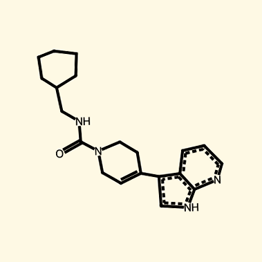 O=C(NCC1CCCCC1)N1CC=C(c2c[nH]c3ncccc23)CC1